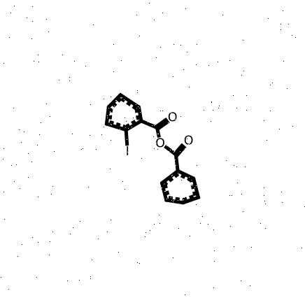 O=C(OC(=O)c1ccccc1I)c1ccccc1